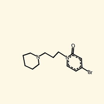 O=c1cc(Br)ccn1CCCN1CCCCC1